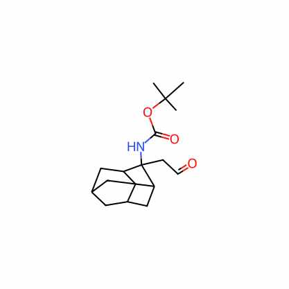 CC(C)(C)OC(=O)NC1(CC=O)C2CC3CC(C2)CC1C3